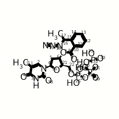 Cc1cn([C@H]2C[C@@H](OC(=O)c3ccccc3C(C)N=[N+]=[N-])[C@@H](COP(=O)(O)OP(=O)(O)OP(=O)(O)O)O2)c(=O)[nH]c1=O